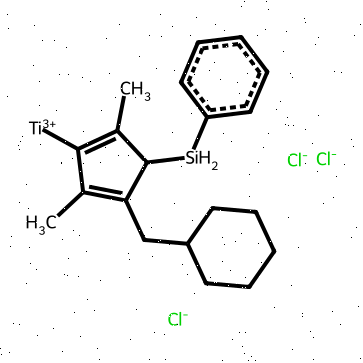 CC1=C(CC2CCCCC2)C([SiH2]c2ccccc2)C(C)=[C]1[Ti+3].[Cl-].[Cl-].[Cl-]